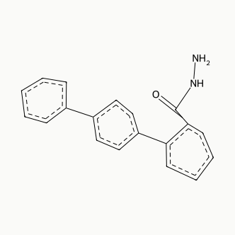 NNC(=O)c1ccccc1-c1ccc(-c2ccccc2)cc1